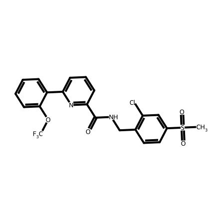 CS(=O)(=O)c1ccc(CNC(=O)c2cccc(-c3ccccc3OC(F)(F)F)n2)c(Cl)c1